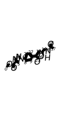 COC(=O)c1cn(-c2ccc(-c3cn(CNC(C)=O)oc3=O)cc2)nn1